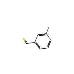 CC(C)c1cccc(C=S)c1